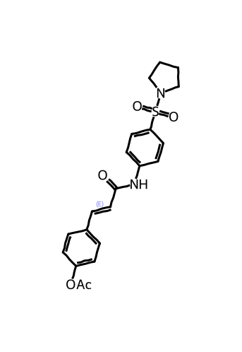 CC(=O)Oc1ccc(/C=C/C(=O)Nc2ccc(S(=O)(=O)N3CCCC3)cc2)cc1